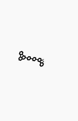 c1ccc2c(c1)-c1cccc3cc(-c4ccc(-c5ccc(-c6ccc7sc8ccccc8c7c6)cc5)cc4)cc-2c13